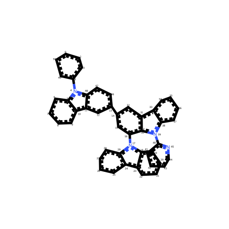 c1ccc(-n2c3ccccc3c3cc(-c4cc(-n5c6ccccc6c6ccccc65)c5c(c4)c4ccccc4n5-c4ccccn4)ccc32)cc1